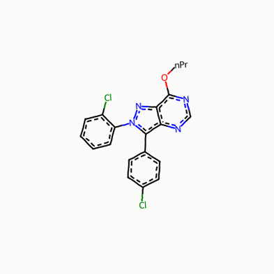 CCCOc1ncnc2c(-c3ccc(Cl)cc3)n(-c3ccccc3Cl)nc12